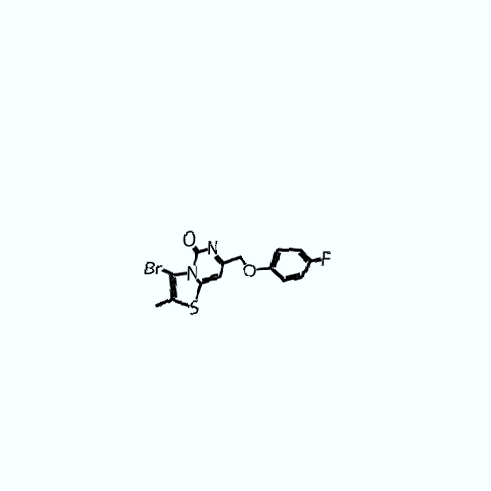 Cc1sc2cc(COc3ccc(F)cc3)nc(=O)n2c1Br